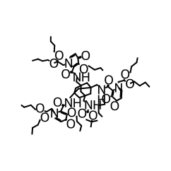 CCCCOc1c(C(=O)NCC23CC4(CNC(=O)OC(C)(C)C)CC(CNC(=O)c5c(OCCCC)c(=O)ccn5CC(OCCCC)OCCCC)(C2)CC(CNC(=O)c2c(OCCCC)c(=O)ccn2CC(OCCCC)OCCCC)(C4)C3)n(CC(OCCCC)OCCCC)ccc1=O